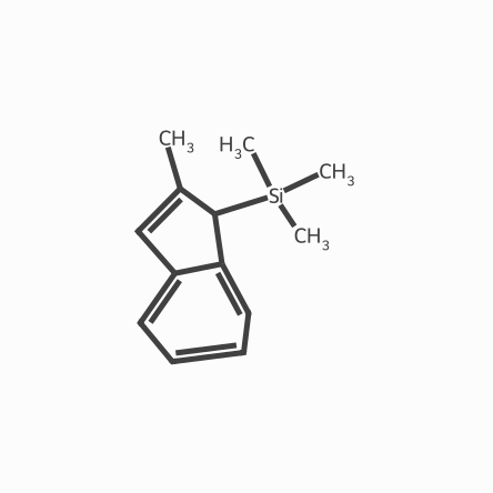 CC1=Cc2ccccc2C1[Si](C)(C)C